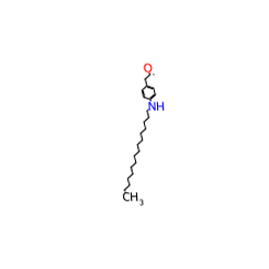 CCCCCCCCCCCCCCCCNc1ccc(C[C]=O)cc1